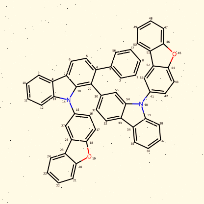 c1ccc(-c2ccc3c4ccccc4n(-c4ccc5oc6ccccc6c5c4)c3c2-c2ccc3c4ccccc4n(-c4ccc5oc6ccccc6c5c4)c3c2)cc1